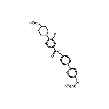 CCCCCCCCC1CCC(c2ccc(C(=O)Oc3ccc(-c4ccc(OCCCCC)cc4)cc3)cc2F)CC1